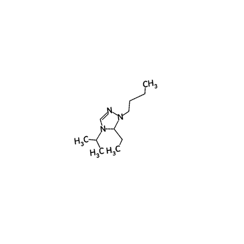 CCCCN1N=CN(C(C)C)C1CC